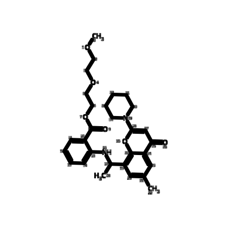 COCCOCCOC(=O)c1ccccc1NC(C)c1cc(C)cc2c(=O)cc(N3CCCCC3)oc12